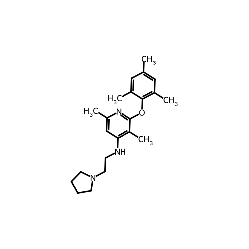 Cc1cc(C)c(Oc2nc(C)cc(NCCN3CCCC3)c2C)c(C)c1